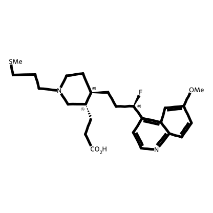 COc1ccc2nccc([C@H](F)CC[C@@H]3CCN(CCCSC)C[C@H]3CCC(=O)O)c2c1